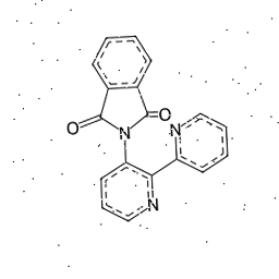 O=C1c2ccccc2C(=O)N1c1cccnc1-c1ccccn1